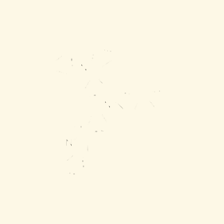 c1ccc(-c2ccc(N(c3ccc4c(c3)oc3nc5ccccc5cc34)c3ccc4c(c3)c3ccccc3n4-c3ccccc3)cc2)cc1